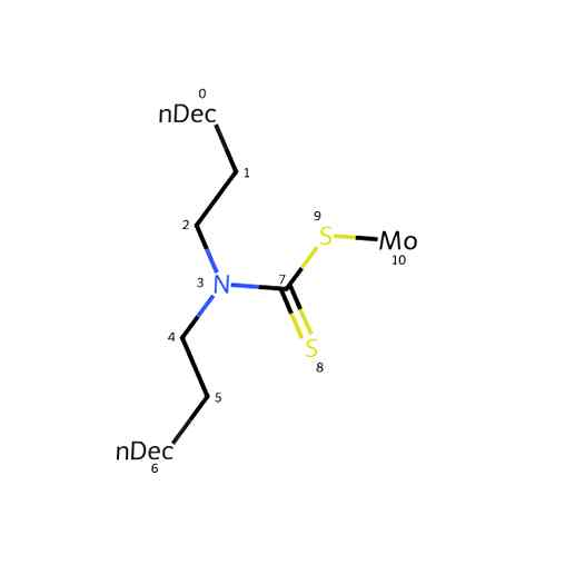 CCCCCCCCCCCCN(CCCCCCCCCCCC)C(=S)[S][Mo]